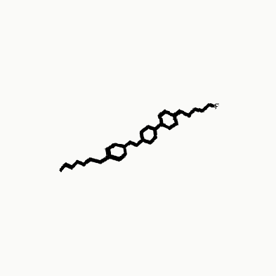 CCCCCCCC1CCC(CCC2CCC(C3CCC(CCCCCF)CC3)CC2)CC1